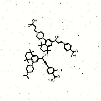 CC(C)N1CCN(c2cc(C(O)C#Cc3ccc(C(=O)O)c(O)c3)cc3c2C(C)(C)CCC3(C)C)CC1.CC1(C)CCC(C)(C)c2c(N3CCN(CCC(=O)O)CC3)cc(C(O)/C=C/c3ccc(C(=O)O)cc3)cc21